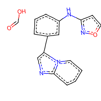 O=CO.c1cc(Nc2ccon2)cc(-c2cnc3ccccn23)c1